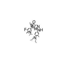 C=C1C(F)=CC(n2c3nc(Nc4ccc(N(CCC)CCC)c(C)c4)ncc3c(=O)n2CC)=CN1C(C)C